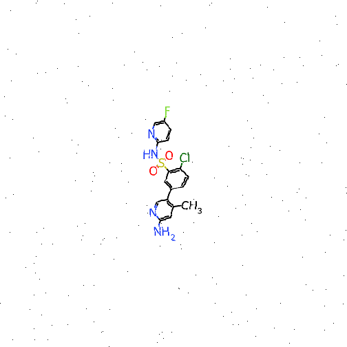 Cc1cc(N)ncc1-c1ccc(Cl)c(S(=O)(=O)Nc2ccc(F)cn2)c1